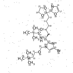 CC(C)(C)[S+]([O-])N[C@@H](CCCCCC1(c2ncco2)OCCO1)c1nc(Br)cn1COCC[Si](C)(C)C